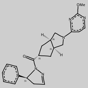 COc1nccc(N2C[C@H]3C[C@H](C(=O)N4N=CC[C@H]4c4ccccc4)C[C@H]3C2)n1